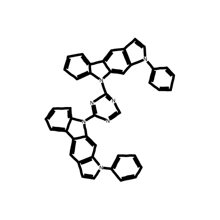 c1ccc(-n2ccc3cc4c5ccccc5n(-c5ncnc(-n6c7ccccc7c7cc8ccn(-c9ccccc9)c8cc76)n5)c4cc32)cc1